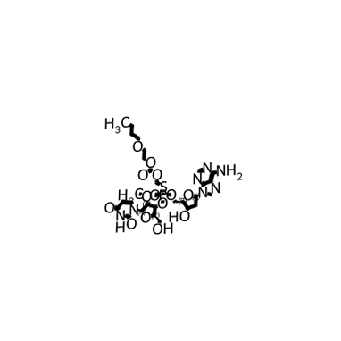 CCCCOCCOC(=O)OCSP(=O)(OC[C@H]1O[C@@H](n2cnc3c(N)ncnc32)CC1O)OC1[C@@H](CO)O[C@@H](n2ccc(=O)[nH]c2=O)[C@H]1OC